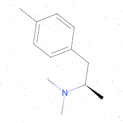 Cc1ccc(C[C@@H](C)N(C)C)cc1